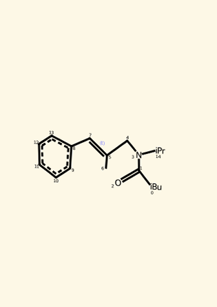 CCC(C)C(=O)N(C/C(C)=C/c1ccccc1)C(C)C